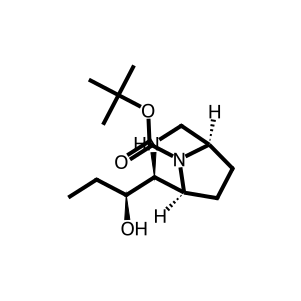 CC[C@H](O)[C@H]1NC[C@H]2CC[C@@H]1N2C(=O)OC(C)(C)C